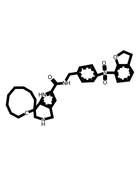 O=C(NCc1ccc(S(=O)(=O)c2cccc3c2OCC3)cc1)c1cc2c([nH]1)C1(CCCCCCCCC1)CNC2